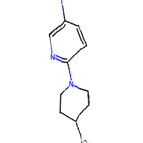 CC(C)(C)C1CCN(c2ccc(I)cn2)CC1